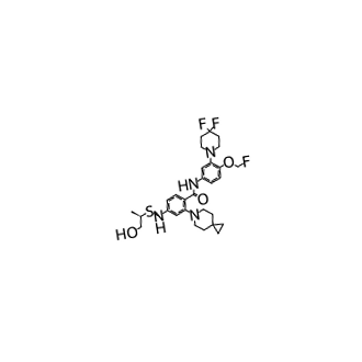 C[C@H](CO)SNc1ccc(C(=O)Nc2ccc(OCF)c(N3CCC(F)(F)CC3)c2)c(N2CCC3(CC2)CC3)c1